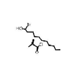 C=C(C)C(=O)Cl.CCCCCCCCCCC(O)Br